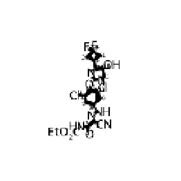 CCOC(=O)NC(=O)/C(C#N)=N/Nc1cc(Cl)c(Oc2ncc(O)c(C3CC(F)(F)C3)n2)c(Cl)c1